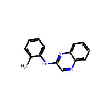 [CH2]c1ccccc1Nc1cnc2ccccc2n1